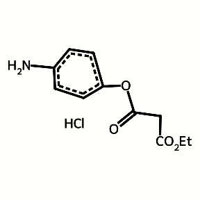 CCOC(=O)CC(=O)Oc1ccc(N)cc1.Cl